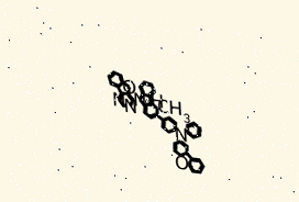 CC1C(C2=CCC(N(C3=CC4c5ccccc5OC4C=C3)c3ccccc3)C=C2)=CC=C2[C@@H]1c1ccccc1N2c1ncnc2c1oc1ccccc12